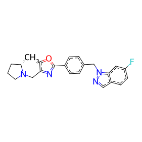 C[C@H]1CCCN1Cc1coc(-c2ccc(Cn3ncc4ccc(F)cc43)cc2)n1